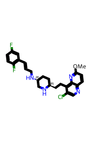 COc1ccc2ncc(Cl)c(CC[C@@H]3CC[C@@H](NCC=Cc4cc(F)ccc4F)CN3)c2n1